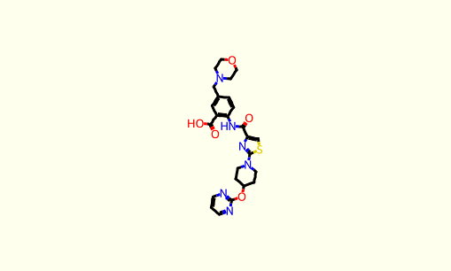 O=C(Nc1ccc(CN2CCOCC2)cc1C(=O)O)c1csc(N2CCC(Oc3ncccn3)CC2)n1